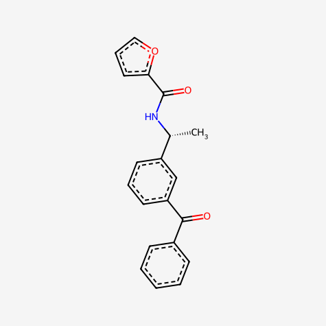 C[C@@H](NC(=O)c1ccco1)c1cccc(C(=O)c2ccccc2)c1